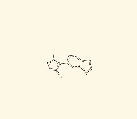 Cn1ccc(=O)n1-c1ccc2ocnc2c1